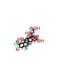 C[C@]12C=C(Cl)C(=O)C=C1[C@H](F)C[C@H]1[C@@H]3C[C@](O)(CC(=O)O)[C@](O)(C(=O)C(O)CC(=O)O)[C@@]3(C)C[C@H](O)[C@@]12F